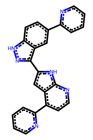 c1ccc(-c2ccc3[nH]nc(-c4cc5c(-c6ccccn6)ccnc5[nH]4)c3c2)nc1